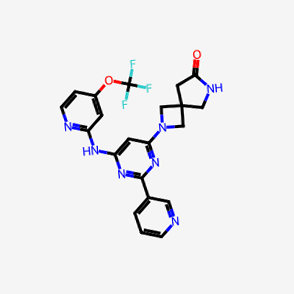 O=C1CC2(CN1)CN(c1cc(Nc3cc(OC(F)(F)F)ccn3)nc(-c3cccnc3)n1)C2